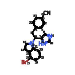 N#Cc1ccc(CC(c2cnc[nH]2)n2ccc3c(Br)cccc32)cc1